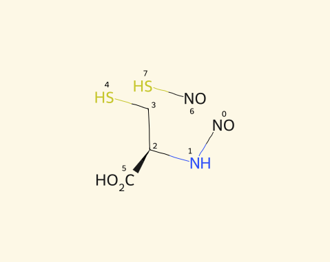 O=NN[C@H](CS)C(=O)O.O=NS